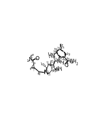 CN(C)C(=O)C1CC1CN1CCC(C)(/C(C=N)=C2\Nc3cc(F)cc(C(N)=O)c3N2)CC1